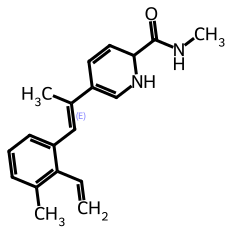 C=Cc1c(C)cccc1/C=C(\C)C1=CNC(C(=O)NC)C=C1